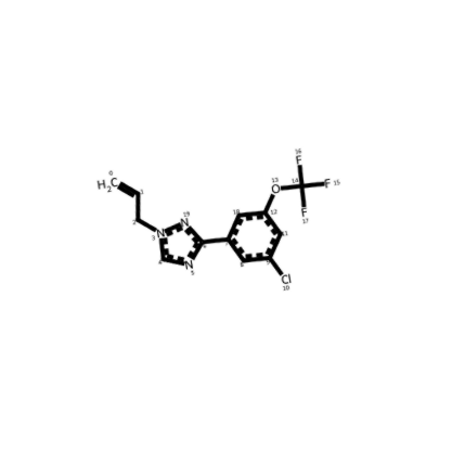 C=CCn1cnc(-c2cc(Cl)cc(OC(F)(F)F)c2)n1